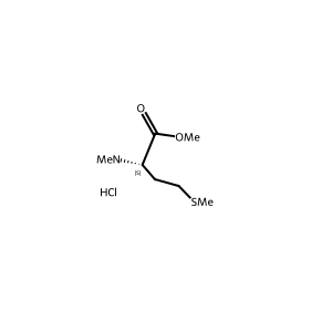 CN[C@@H](CCSC)C(=O)OC.Cl